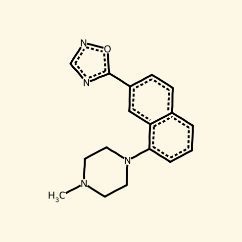 CN1CCN(c2cccc3ccc(-c4ncno4)cc23)CC1